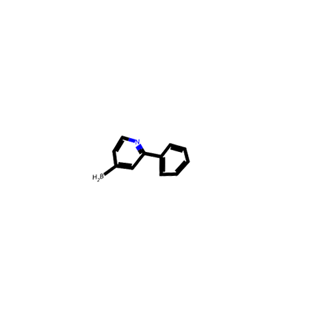 Bc1ccnc(-c2ccccc2)c1